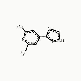 CC(C)(C)c1cc(-c2nc[nH]n2)cc(C(F)(F)F)n1